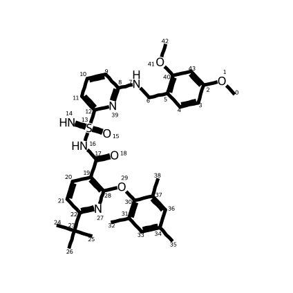 COc1ccc(CNc2cccc(S(=N)(=O)NC(=O)c3ccc(C(C)(C)C)nc3Oc3c(C)cc(C)cc3C)n2)c(OC)c1